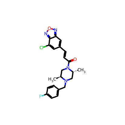 C[C@@H]1CN(Cc2ccc(F)cc2)[C@@H](C)CN1C(=O)/C=C/c1cc(Cl)c2nonc2c1